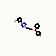 Fc1ccc(C(OCCCCN2CCN(c3cccc(Cl)c3)CC2)c2ccc(F)cc2)cc1